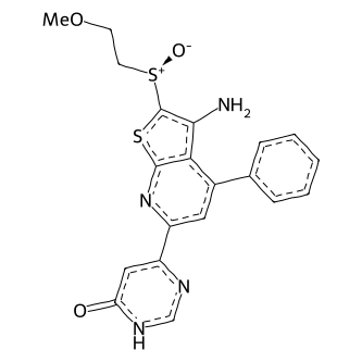 COCC[S@@+]([O-])c1sc2nc(-c3cc(=O)[nH]cn3)cc(-c3ccccc3)c2c1N